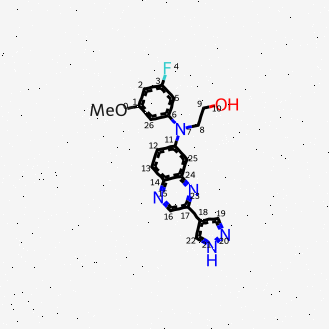 COc1cc(F)cc(N(CCO)c2ccc3ncc(-c4cn[nH]c4)nc3c2)c1